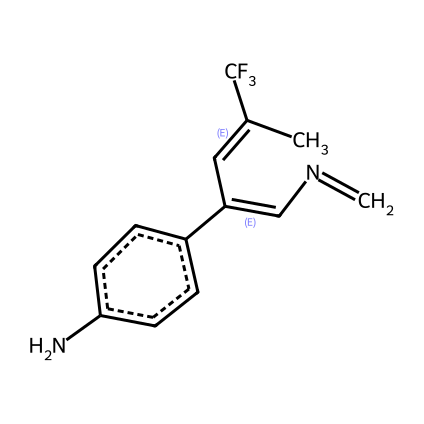 C=N/C=C(\C=C(/C)C(F)(F)F)c1ccc(N)cc1